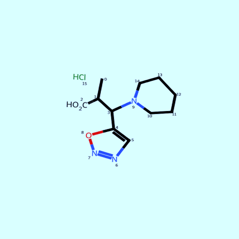 CC(C(=O)O)C(c1cnno1)N1CCCCC1.Cl